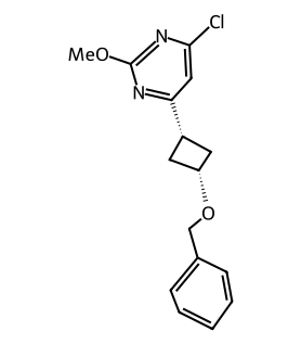 COc1nc(Cl)cc([C@H]2C[C@@H](OCc3ccccc3)C2)n1